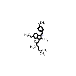 COc1ccc2c(c1)C(CC(=O)N(C)CCN(C)C)=C(C)/C2=C/c1ccc(SC)cc1